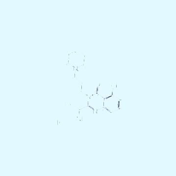 CC(NC(=O)O)c1nc2cccc(Cl)c2c(=O)n1CCCN1CCOCC1